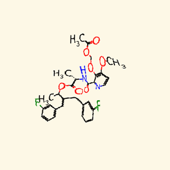 COc1ccnc(C(=O)N[C@@H](C)C(=O)OC(C)C(Cc2cccc(F)c2)Cc2cccc(F)c2)c1OCOC(C)=O